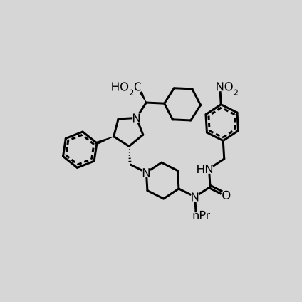 CCCN(C(=O)NCc1ccc([N+](=O)[O-])cc1)C1CCN(C[C@H]2CN([C@@H](C(=O)O)C3CCCCC3)C[C@@H]2c2ccccc2)CC1